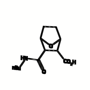 CCCCNC(=O)C1C2CCC(O2)C1C(=O)O